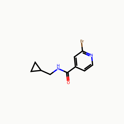 O=C(NCC1CC1)c1ccnc(Br)c1